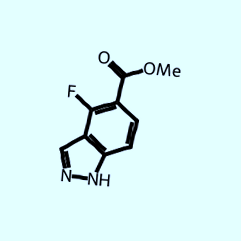 COC(=O)c1ccc2[nH]ncc2c1F